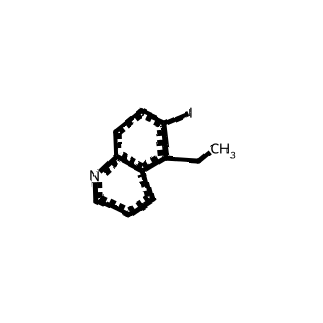 CCc1c(I)ccc2ncccc12